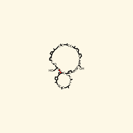 CC1CCCC(C)CCC(C)CCCC(C)C2CCC(C2)C2CCC3(CCOC(CO)COCCC4CCC(C4)C4CCC(C4)C(C)CCCC(C)CCC(C)CCCC(C)C4CCC(C4)C4CCC(CCOC(CO)COCCC5CCC(C5)C(CCC1)C3)C4)C2